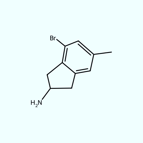 Cc1cc(Br)c2c(c1)CC(N)C2